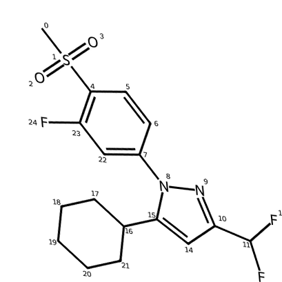 CS(=O)(=O)c1ccc(-n2nc(C(F)F)cc2C2CCCCC2)cc1F